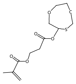 C=C(C)C(=O)OCCC(=O)OC1COCCCCS1